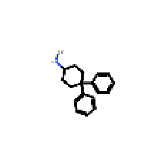 CC(C)NC1CCC(c2ccccc2)(c2ccccc2)CC1